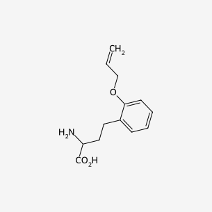 C=CCOc1ccccc1CCC(N)C(=O)O